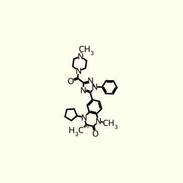 C[C@@H]1C(=O)N(C)c2ccc(-c3nc(C(=O)N4CCN(C)CC4)nn3-c3ccccc3)cc2N1C1CCCC1